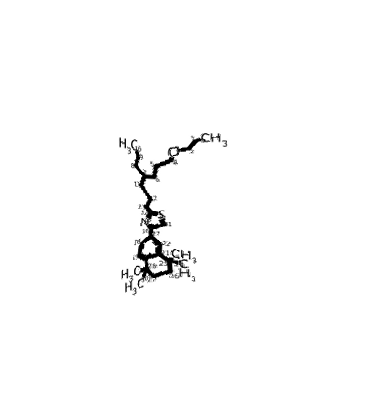 CCCOCCCC(CCC)CCCc1nc(-c2ccc3c(c2)C(C)(C)CCC3(C)C)cs1